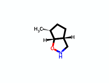 C[C@@H]1CC[C@@H]2CNO[C@@H]21